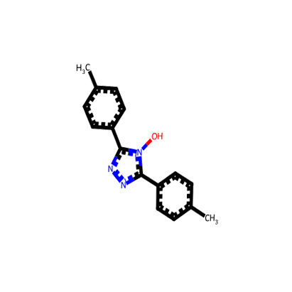 Cc1ccc(-c2nnc(-c3ccc(C)cc3)n2O)cc1